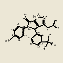 CC(C)Cc1n[nH]c2c1C(c1cccc(C(F)(F)F)c1)N(c1ccc(F)cc1)C2=O